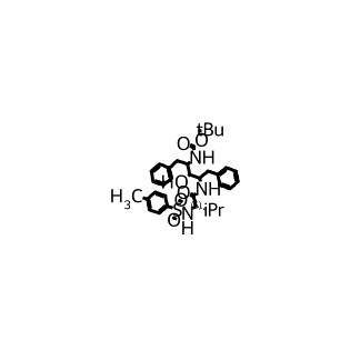 Cc1ccc(S(=O)(=O)N[C@H](C(=O)NC(Cc2ccccc2)C(O)C(Cc2ccccc2)NC(=O)OC(C)(C)C)C(C)C)cc1